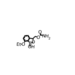 CCOc1cccc2c1B(O)OC2COC(N)=O